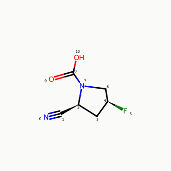 N#C[C@@H]1C[C@H](F)CN1C(=O)O